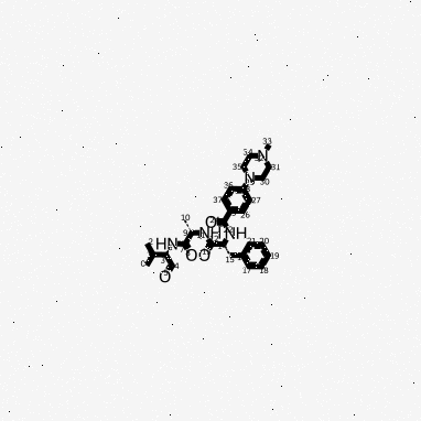 CC(C)[C@@H](C=O)NC(=O)[C@H](C)NC(=O)[C@@H](Cc1ccccc1)NC(=O)c1ccc(N2CCN(C)CC2)cc1